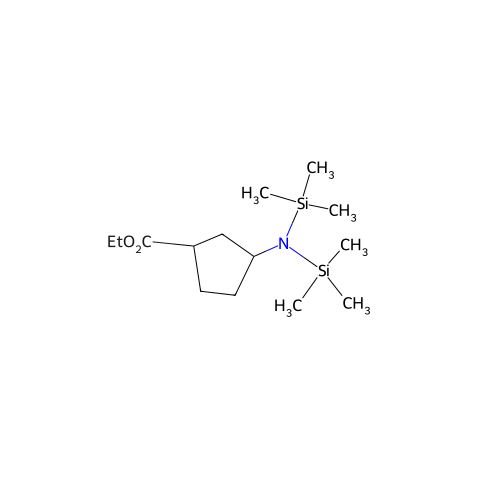 CCOC(=O)C1CCC(N([Si](C)(C)C)[Si](C)(C)C)C1